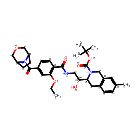 CCOc1cc(C(=O)N2C3CCC2COC3)ccc1C(=O)NC[C@@H](O)C1Cc2ccc(C)cc2CN1C(=O)OC(C)(C)C